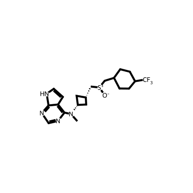 CN(c1ncnc2[nH]ccc12)[C@H]1C[C@@H](C[S+]([O-])CC2CCC(C(F)(F)F)CC2)C1